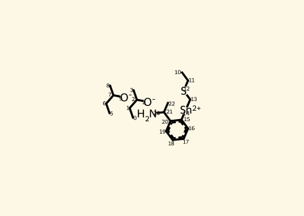 CCC(C)[O-].CCC(C)[O-].CCS[CH2][Sn+2][c]1ccccc1C(C)N